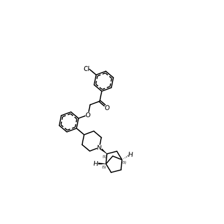 O=C(COc1ccccc1C1CCN([C@H]2C[C@H]3CC[C@H]2C3)CC1)c1cccc(Cl)c1